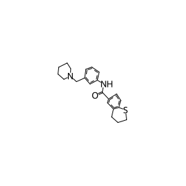 O=C(Nc1cccc(CN2CCCCC2)c1)c1ccc2c(c1)CCCS2